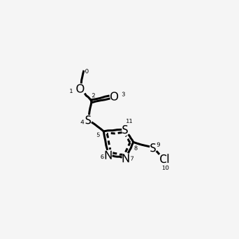 COC(=O)Sc1nnc(SCl)s1